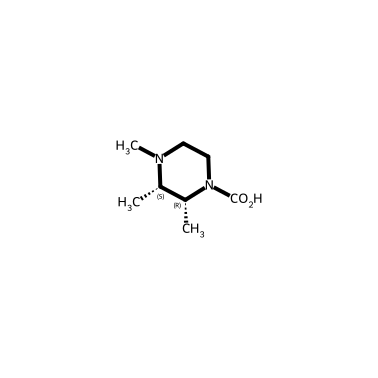 C[C@@H]1[C@H](C)N(C)CCN1C(=O)O